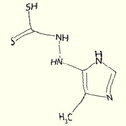 Cc1nc[nH]c1NNC(=S)S